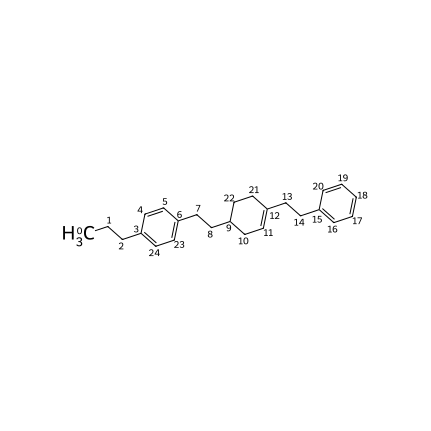 CCCc1ccc(CCC2CC=C(CCc3ccccc3)CC2)cc1